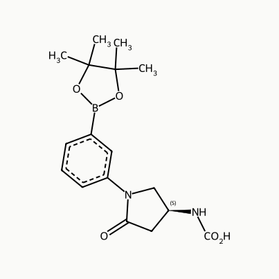 CC1(C)OB(c2cccc(N3C[C@@H](NC(=O)O)CC3=O)c2)OC1(C)C